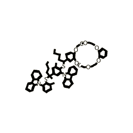 CCCCC(Sc1c(C)cc(C(C)(CCCC)Sc2c(C)cccc2-n2c3ccccc3c3ccccc32)cc1-n1c2ccccc2c2ccccc21)c1ccc2c(c1)OCCOCCOc1ccccc1OCCOCCO2